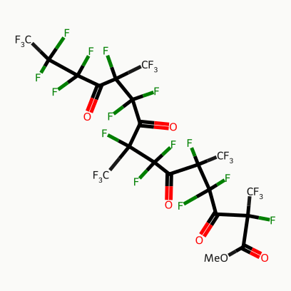 COC(=O)C(F)(C(=O)C(F)(F)C(F)(C(=O)C(F)(F)C(F)(C(=O)C(F)(F)C(F)(C(=O)C(F)(F)C(F)(F)C(F)(F)F)C(F)(F)F)C(F)(F)F)C(F)(F)F)C(F)(F)F